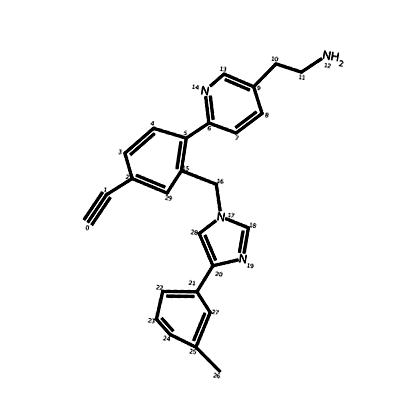 C#Cc1ccc(-c2ccc(CCN)cn2)c(Cn2cnc(-c3cccc(C)c3)c2)c1